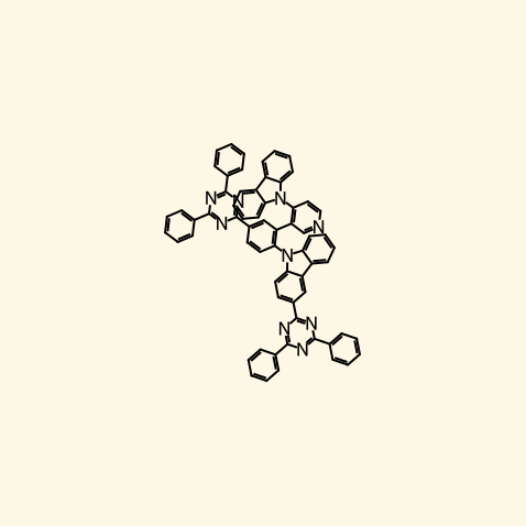 c1ccc(-c2nc(-c3ccccc3)nc(-c3ccc(-n4c5ccccc5c5cc(-c6nc(-c7ccccc7)nc(-c7ccccc7)n6)ccc54)c(-c4cnccc4-n4c5ccccc5c5ccccc54)c3)n2)cc1